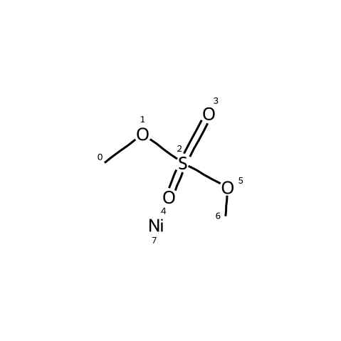 COS(=O)(=O)OC.[Ni]